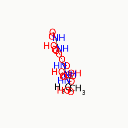 CC(C)(CCC(=O)NC(CS(=O)(=O)O)C(=O)NC(CCC(=O)NCCOCCOCC(=O)NC(CCCCNC(=O)C=O)C(=O)O)C(=O)O)C(=O)O